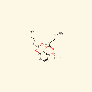 CCCCCCOc1cccc(OC(=O)CCCC(C)C)c1OC(=O)CCCC(C)C